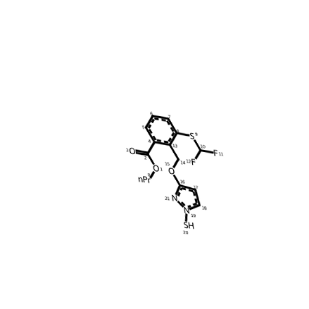 CCCOC(=O)c1cccc(SC(F)F)c1COc1ccn(S)n1